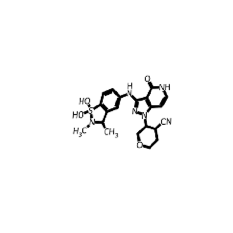 CC1c2cc(Nc3nn(C4COCCC4C#N)c4cc[nH]c(=O)c34)ccc2S(O)(O)N1C